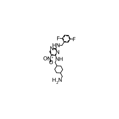 NCC1CCC(CNc2nc(NCc3cc(F)ccc3F)ncc2[N+](=O)[O-])CC1